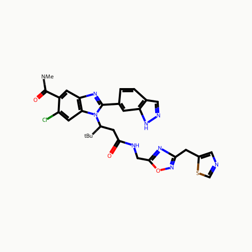 CNC(=O)c1cc2nc(-c3ccc4cn[nH]c4c3)n(C(CC(=O)NCc3nc(Cc4cncs4)no3)C(C)(C)C)c2cc1Cl